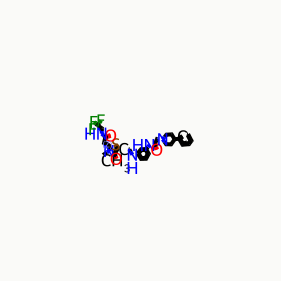 CCn1c(=O)c(=C=CNc2cccc(NC(=O)CN3CCC(c4ccccc4)CC3)c2)s/c1=C\C(=O)NCC(F)(F)F